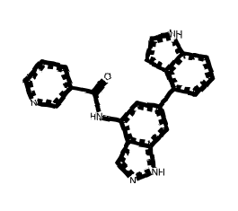 O=C(Nc1cc(-c2cccc3[nH]ccc23)cc2[nH]ncc12)c1cccnc1